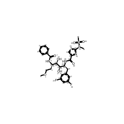 COCC[C@@H](NC(=O)c1ccccc1)[C@@H](O)[C@H](O)[C@H](Cc1cc(F)cc(F)c1)NC(=O)c1csc(N(C)S(C)(=O)=O)n1